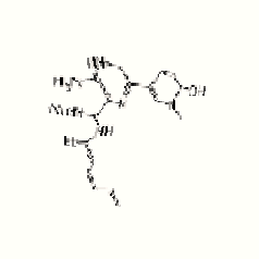 C=C/C=C\C=C(/CC)NC(NC)C1=C(N)NCC(C2=CN(C)C(O)C=C2)=N1